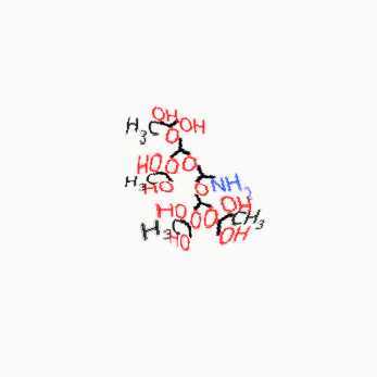 CC(O)C(CO)OCC(COCC(CN)COCC(COC(CO)C(C)O)COC(CO)C(C)O)COC(CO)C(C)O